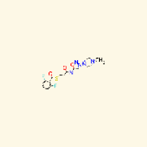 CN1CCN([n+]2cc([N-]C(=O)CCSC(=O)c3c(F)cccc3F)on2)CC1